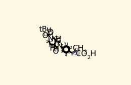 C/C(=C\c1ccc(N2C[C@@H]3CN(C(=O)OC(C)(C)C)CC[C@@H]3C2=O)cc1)C(=O)O